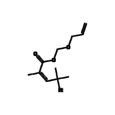 C=CCOCOC(=O)C(C)=CC(C)(C)CC